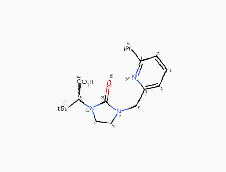 CC(C)c1cccc(CN2CCN([C@H](C(=O)O)C(C)(C)C)C2=O)n1